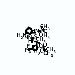 CN(C)C(=O)NCc1cccc(N)c1NC(=S)NC(C)(COC(=O)C(C)(C)C)c1cccc(C(F)(F)F)c1